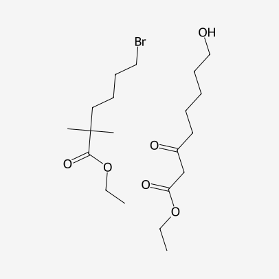 CCOC(=O)C(C)(C)CCCCBr.CCOC(=O)CC(=O)CCCCCO